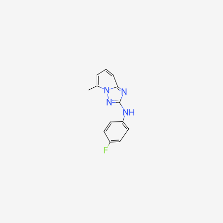 Cc1cccc2nc(Nc3ccc(F)cc3)nn12